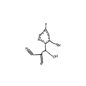 C=C(C#N)C(O)c1ncc(F)cc1Br